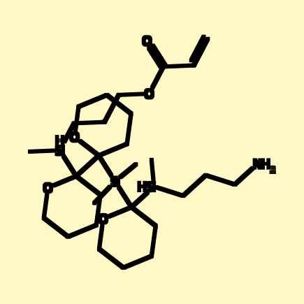 C=CC(=O)OCCC[SiH](C)C1(C2([Si](C)(C)C3([SiH](C)CCCN)CCCCO3)CCCCO2)CCCCO1